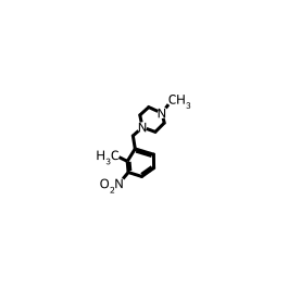 Cc1c(CN2CCN(C)CC2)cccc1[N+](=O)[O-]